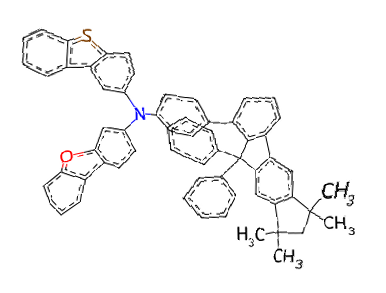 CC1(C)CC(C)(C)c2cc3c(cc21)-c1cccc(-c2ccc(N(c4ccc5c(c4)oc4ccccc45)c4ccc5sc6ccccc6c5c4)cc2)c1C3(c1ccccc1)c1ccccc1